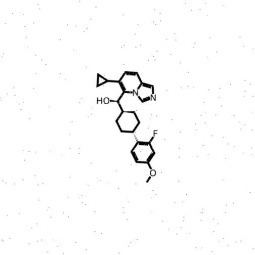 COc1ccc([C@H]2CC[C@H]([C@@H](O)c3c(C4CC4)ccc4cncn34)CC2)c(F)c1